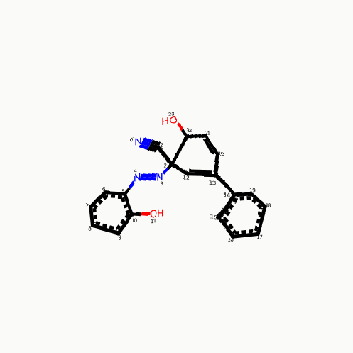 N#CC1(N=Nc2ccccc2O)C=C(c2ccccc2)C=CC1O